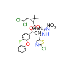 CC1(C)C(C=C(Cl)Cl)C1C(=O)OC(C#N)c1ccc(F)c(Oc2ccccc2)c1.CN/C(=N\[N+](=O)[O-])NCc1cnc(Cl)s1